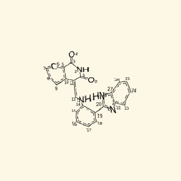 O=C1NC(=O)c2ccccc2C1=CNc1ccccc1-c1nc2ccccc2[nH]1